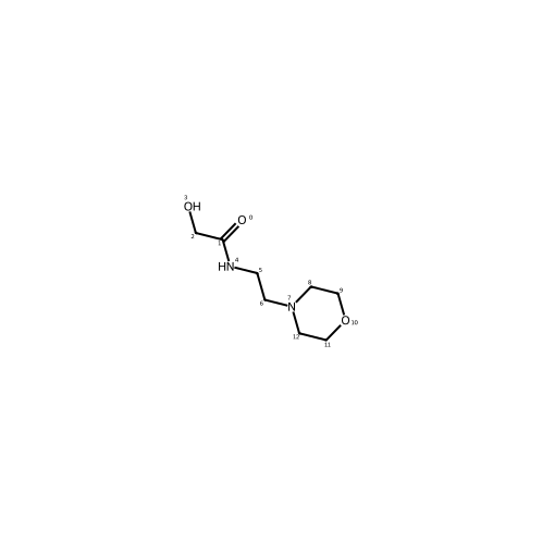 O=C(CO)NCCN1CCOCC1